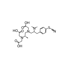 C[C@H](CN(CC(=O)O)CC(Cc1ccc(SC#N)cc1)N(C)C)N(CC(=O)O)CC(=O)O